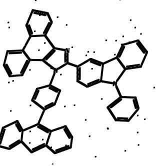 c1ccc(-n2c3ccccc3c3cc(-c4nc5c6ccccc6c6ccccc6c5n4-c4ccc(-c5c6ccccc6cc6ccccc56)cc4)ccc32)cc1